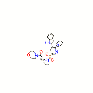 O=C([C@@H]1CCN1S(=O)(=O)c1cnc(N2C3CCC2CC3)c(-c2cc3ccccc3[nH]2)c1)N1CCOCC1